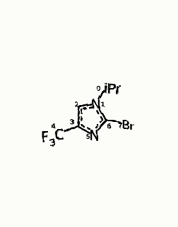 CC(C)n1cc(C(F)(F)F)nc1Br